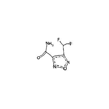 NC(=O)c1nonc1C(F)F